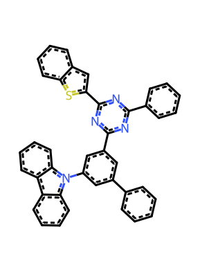 c1ccc(-c2cc(-c3nc(-c4ccccc4)nc(-c4cc5ccccc5s4)n3)cc(-n3c4ccccc4c4ccccc43)c2)cc1